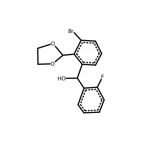 OC(c1ccccc1F)c1cccc(Br)c1C1OCCO1